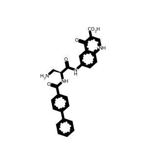 NC[C@H](NC(=O)c1ccc(-c2ccccc2)cc1)C(=O)Nc1ccc2[nH]cc(C(=O)O)c(=O)c2c1